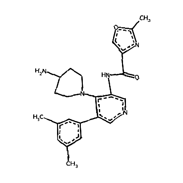 Cc1cc(C)cc(-c2cncc(NC(=O)c3coc(C)n3)c2N2CCC(N)CC2)c1